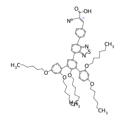 CCCCCCOc1ccc(-c2cc(-c3ccc(-c4ccc(/C=C(\C#N)C(=O)O)cc4)c4nsnc34)cc(-c3ccc(OCCCCCC)cc3OCCCCCC)c2OCCCCCC)c(OCCCCCC)c1